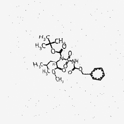 COC(=O)[C@@H](CC(C)C)N(C(=O)OC(C)(C)C)S(=O)(=O)NC(=O)OCc1ccccc1